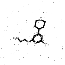 NCCNc1cc(C2CCOCC2)nc(N)n1